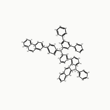 c1ccc(-c2cc(-c3ccccc3)cc(N(c3ccc(-c4ccc5c(ccc6ccccc65)c4)cc3)c3cccc(-c4cccc5c4c4cc6ccccc6cc4n5-c4ccccc4)c3)c2)cc1